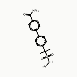 CCCNS(=O)(=O)C(C)(C)c1ccc(-c2ccc(C(=O)NC)cc2)cc1